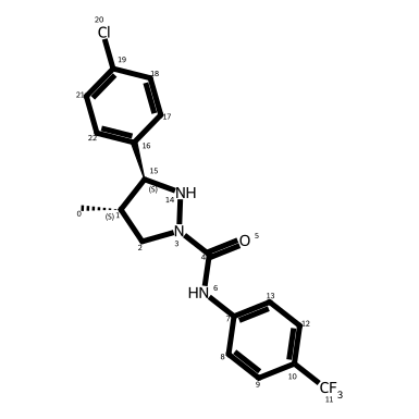 C[C@H]1CN(C(=O)Nc2ccc(C(F)(F)F)cc2)N[C@@H]1c1ccc(Cl)cc1